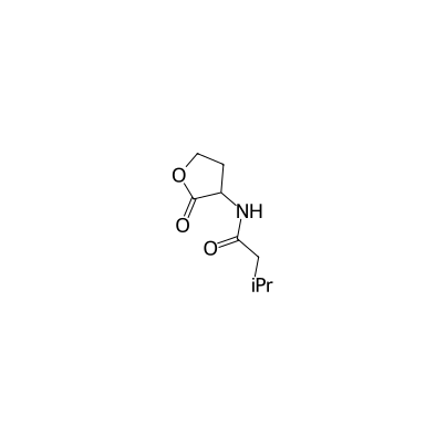 CC(C)CC(=O)NC1CCOC1=O